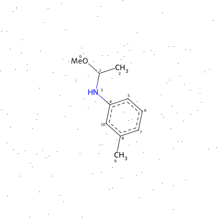 COC(C)Nc1cccc(C)c1